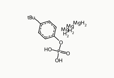 CC(C)(C)c1ccc(OP(=O)(O)O)cc1.[MgH2].[MgH2].[MgH2]